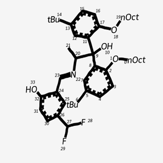 CCCCCCCCOc1ccc(C(C)(C)C)cc1C(O)(c1cc(C(C)(C)C)ccc1OCCCCCCCC)C(C)N=Cc1cc(C(F)F)ccc1O